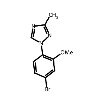 COc1cc(Br)ccc1-n1cnc(C)n1